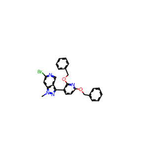 Cn1nc(-c2ccc(OCc3ccccc3)nc2OCc2ccccc2)c2cnc(Br)cc21